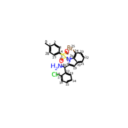 Cc1ccc(S(=O)(=O)n2c(C(N)c3ccccc3Cl)cc3cccc(Br)c32)cc1